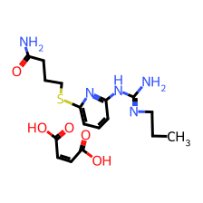 CCCN=C(N)Nc1cccc(SCCCC(N)=O)n1.O=C(O)/C=C\C(=O)O